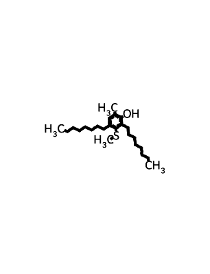 CCCCCCCCc1cc(C)c(O)c(CCCCCCCC)c1SC